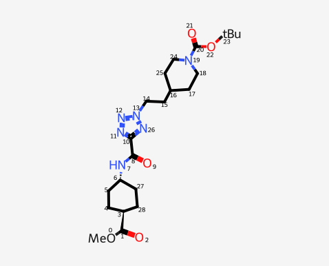 COC(=O)[C@H]1CC[C@H](NC(=O)c2nnn(CCC3CCN(C(=O)OC(C)(C)C)CC3)n2)CC1